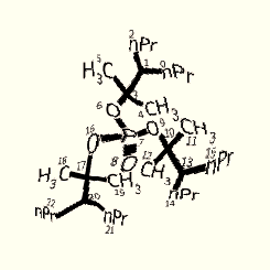 CCCC(CCC)C(C)(C)OP(=O)(OC(C)(C)C(CCC)CCC)OC(C)(C)C(CCC)CCC